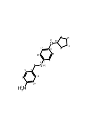 Nc1ccc(CNc2ccc(OC3CCCC3)cc2)cc1